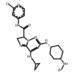 CC(C)N[C@H]1CC[C@H](NC2=NN3C(=NCC3C(=O)Nc3ccnc(Cl)c3)C(NC3CC3)=C2)CC1